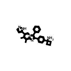 Cc1c(-c2ccn[nH]2)cn2c(-c3ccccc3)c(-c3ccc(C4(N)CCC4)cc3)nc2c1C